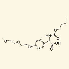 CCCCOC(=O)NC(C(=O)O)c1ccc(OCCOCCOC)cc1